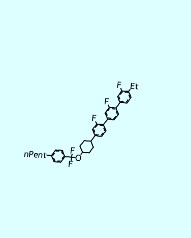 CCCCCc1ccc(C(F)(F)OC2CCC(c3ccc(-c4ccc(-c5ccc(CC)c(F)c5)c(F)c4)c(F)c3)CC2)cc1